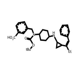 CCC(=Cc1ccccc1)C1CC1NC1CCC(N(Cc2cccc(C(=O)O)c2)C(=O)OC(C)(C)C)CC1